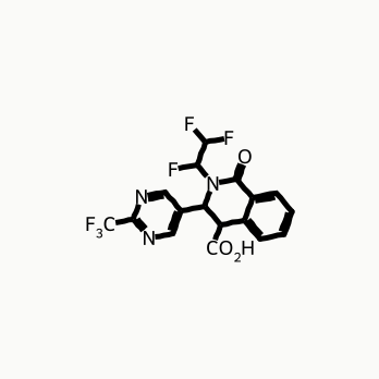 O=C(O)C1c2ccccc2C(=O)N(C(F)C(F)F)C1c1cnc(C(F)(F)F)nc1